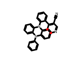 N#Cc1cnccc1-c1ccccc1N1c2ccccc2N(c2ccccc2)c2ccccc21